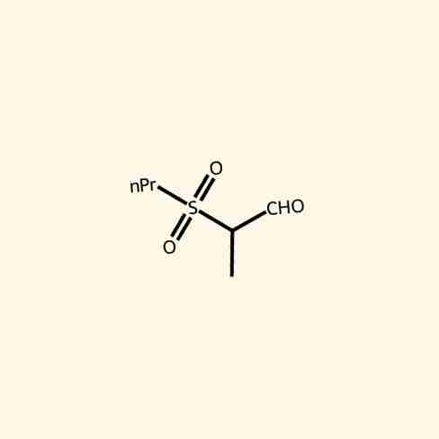 CCCS(=O)(=O)C(C)C=O